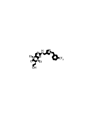 CCN1C(=O)[C@H](CCO)N(CC)c2nc(NCc3cnn(Cc4cccc(C(F)(F)F)c4)c3)ncc21